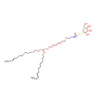 CCCCCCCCC=CCCCCCCCCOCC(COCCOCCOCCOCCNC(=O)CCSC1OC(CO)C(O)C(O)C1O)OCCCCCCCCC=CCCCCCCCC